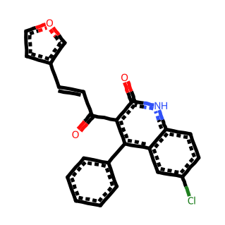 O=C(C=Cc1ccoc1)c1c(-c2ccccc2)c2cc(Cl)ccc2[nH]c1=O